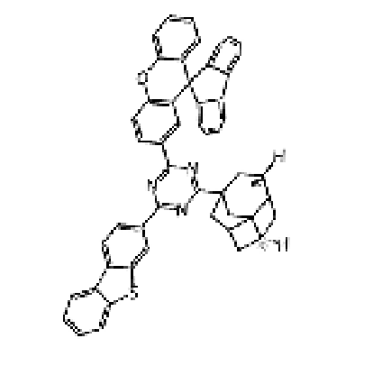 c1ccc2c(c1)Oc1ccc(-c3nc(-c4ccc5c(c4)sc4ccccc45)nc(C45CC6C[C@@H]7C[C@@H](C4)CC67C5)n3)cc1C21c2ccccc2-c2ccccc21